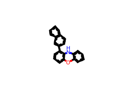 c1ccc2c(c1)Nc1c(cccc1-c1ccc3ccccc3c1)O2